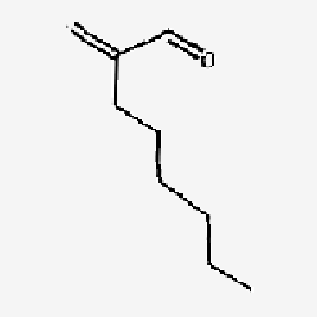 [CH]=C(C=O)CCCCCC